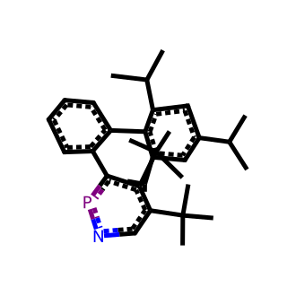 CC(C)c1cc(C(C)C)c(-c2ccccc2-c2pncc(C(C)(C)C)c2C(C)(C)C)c(C(C)C)c1